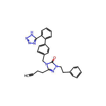 C#CCCc1nn(CCc2ccccc2)c(=O)n1Cc1ccc(-c2ccccc2-c2nnn[nH]2)cc1